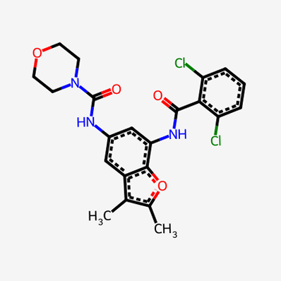 Cc1oc2c(NC(=O)c3c(Cl)cccc3Cl)cc(NC(=O)N3CCOCC3)cc2c1C